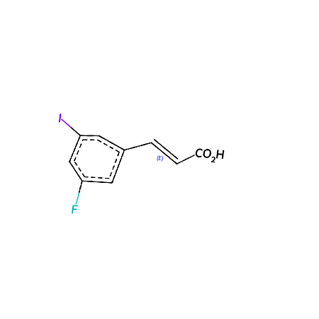 O=C(O)/C=C/c1cc(F)cc(I)c1